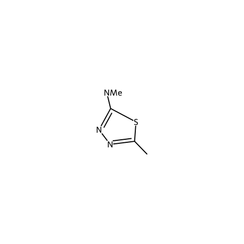 CNc1nnc(C)s1